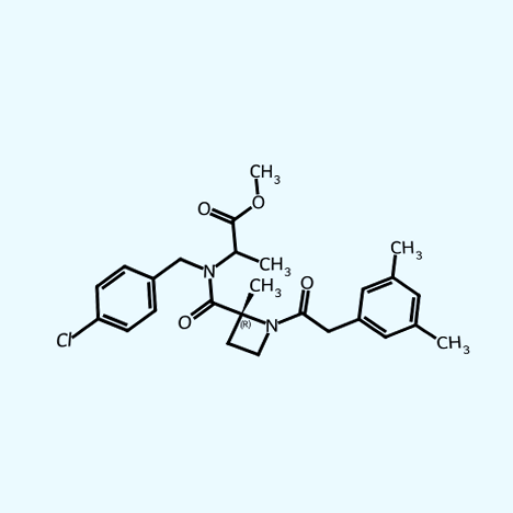 COC(=O)C(C)N(Cc1ccc(Cl)cc1)C(=O)[C@@]1(C)CCN1C(=O)Cc1cc(C)cc(C)c1